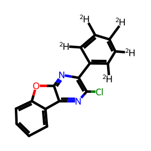 [2H]c1c([2H])c([2H])c(-c2nc3oc4ccccc4c3nc2Cl)c([2H])c1[2H]